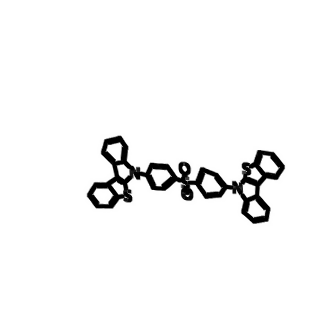 O=S(=O)(c1ccc(-n2c3ccccc3c3c4ccccc4sc32)cc1)c1ccc(-n2c3ccccc3c3c4ccccc4sc32)cc1